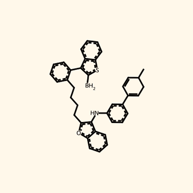 Bc1sc2ccccc2c1-c1ccccc1CCCCc1oc2ccccc2c1Nc1cccc(C2=CCC(C)C=C2)c1